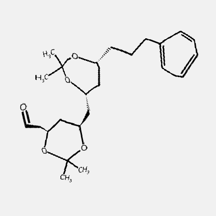 CC1(C)O[C@H](CCCc2ccccc2)C[C@H](C[C@@H]2C[C@H](C=O)OC(C)(C)O2)O1